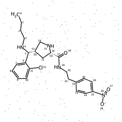 CCCCNC(c1ccccc1Cl)[C@@H]1CN[C@H](C(=O)NCCc2ccc([N+](=O)[O-])cc2)C1